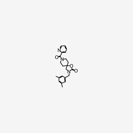 Cc1cc(C)cc(CN2CC3(CCN(C(=O)c4ccccn4)CC3)OC2=O)c1